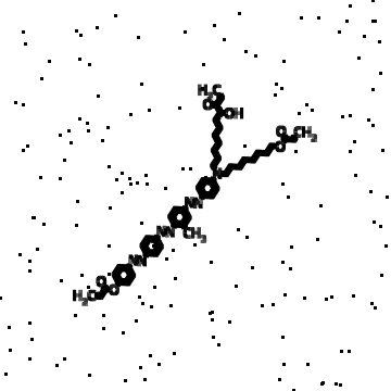 C=CC(=O)OCCCCCCCCN(CCCCCCCC(O)C(=O)C=C)c1ccc(N=Nc2ccc(N=Nc3ccc(N=Nc4ccc(OC(=O)C=C)cc4)cc3)c(C)c2)cc1